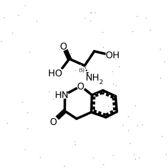 N[C@@H](CO)C(=O)O.O=C1Cc2ccccc2ON1